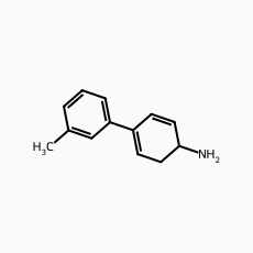 Cc1cccc(C2=CCC(N)C=C2)c1